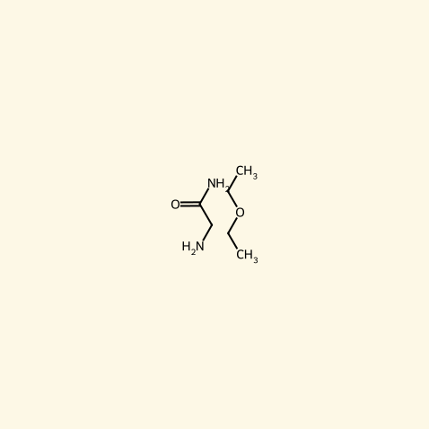 CCOCC.NCC(N)=O